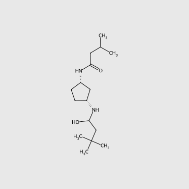 CC(C)CC(=O)N[C@H]1CC[C@@H](NC(O)CC(C)(C)C)C1